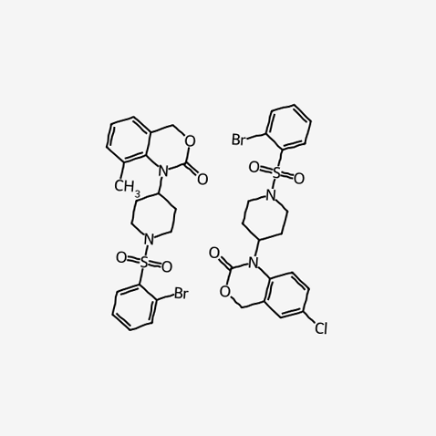 Cc1cccc2c1N(C1CCN(S(=O)(=O)c3ccccc3Br)CC1)C(=O)OC2.O=C1OCc2cc(Cl)ccc2N1C1CCN(S(=O)(=O)c2ccccc2Br)CC1